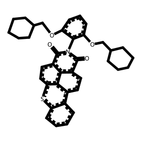 O=c1c2ccc3sc4ccccc4c4ccc(c(=O)n1-c1c(OCC5CCCCC5)cccc1OCC1CCCCC1)c2c34